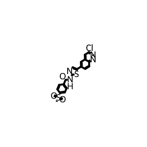 CS(=O)(=O)c1ccc(C(=O)Nc2ncc(-c3ccc4nnc(Cl)cc4c3)s2)cc1